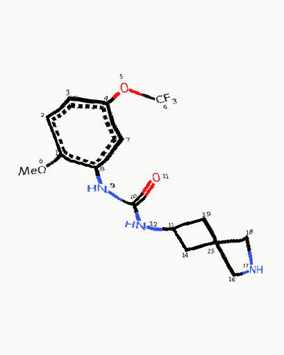 COc1ccc(OC(F)(F)F)cc1NC(=O)NC1CC2(CNC2)C1